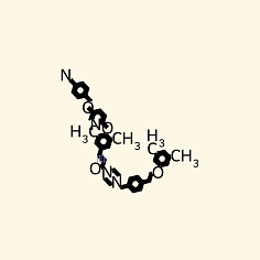 Cc1cc(C)cc(OCCc2ccc(CN3CCN(C(=O)/C=C/c4cc(C)c(Oc5ccc(OCc6ccc(C#N)cc6)cn5)c(C)c4)CC3)cc2)c1